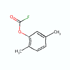 Cc1ccc(C)c(OC(=O)F)c1